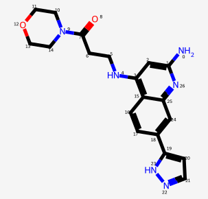 Nc1cc(NCCC(=O)N2CCOCC2)c2ccc(-c3ccn[nH]3)cc2n1